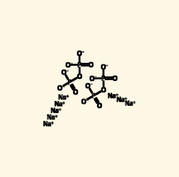 O=P([O-])([O-])OP(=O)([O-])[O-].O=P([O-])([O-])OP(=O)([O-])[O-].[Na+].[Na+].[Na+].[Na+].[Na+].[Na+].[Na+].[Na+]